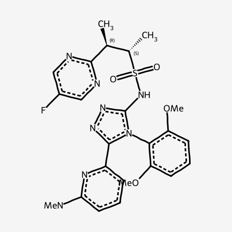 CNc1cccc(-c2nnc(NS(=O)(=O)[C@@H](C)[C@H](C)c3ncc(F)cn3)n2-c2c(OC)cccc2OC)n1